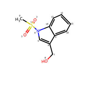 CS(=O)(=O)n1cc(CO)c2ccccc21